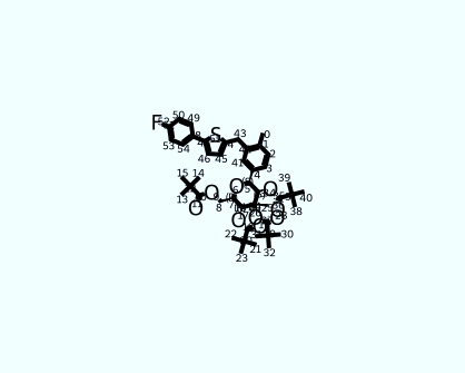 Cc1ccc([C@@H]2O[C@H](COC(=O)C(C)(C)C)[C@@H](OC(=O)C(C)(C)C)[C@@](C)(OC(=O)C(C)(C)C)[C@H]2OC(=O)C(C)(C)C)cc1Cc1ccc(-c2ccc(F)cc2)s1